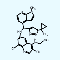 Cn1ccc2c(C(Nc3cc(Cl)c4ncc(C#N)c(NCC(C)(C)C)c4c3)c3cn(C4(C(F)(F)F)CC4)nn3)ccnc21